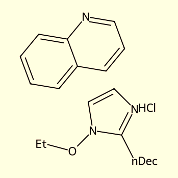 CCCCCCCCCCc1nccn1OCC.Cl.c1ccc2ncccc2c1